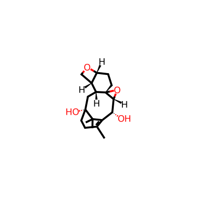 CC1=C2[C@@H](O)[C@H]3O[C@]34CC[C@H]3OC[C@H]3[C@H]4C[C@](O)(CC1)C2(C)C